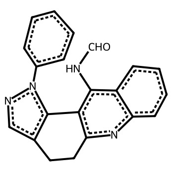 O=CNc1c2c(nc3ccccc13)CCc1cnn(-c3ccccc3)c1-2